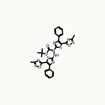 Cc1noc(-c2sc(NN(C(=O)OC(C)(C)C)c3nc(-c4ccccc4)c(-c4nc(C)no4)s3)nc2-c2ccccc2)n1